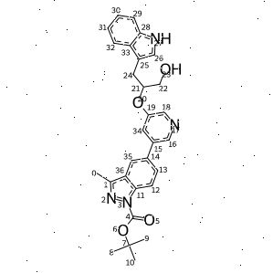 Cc1nn(C(=O)OC(C)(C)C)c2ccc(-c3cncc(OC(CO)Cc4c[nH]c5ccccc45)c3)cc12